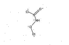 CCONC(=O)Cl